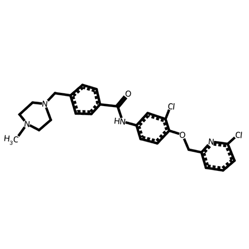 CN1CCN(Cc2ccc(C(=O)Nc3ccc(OCc4cccc(Cl)n4)c(Cl)c3)cc2)CC1